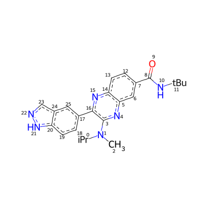 CC(C)N(C)c1nc2cc(C(=O)NC(C)(C)C)ccc2nc1-c1ccc2[nH]ncc2c1